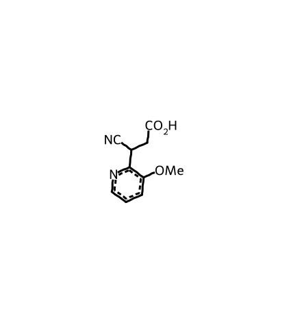 COc1cccnc1C(C#N)CC(=O)O